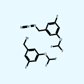 Fc1cc(CBr)cc(OC(F)F)c1.[N-]=[N+]=NCc1cc(F)cc(OC(F)F)c1